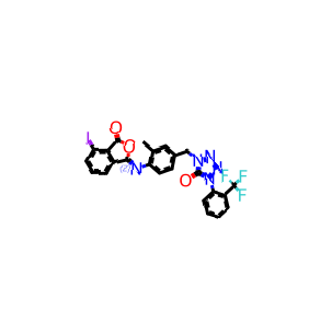 Cc1cc(Cn2nnn(-c3ccccc3C(F)(F)F)c2=O)ccc1/N=C1\OC(=O)c2c(I)cccc21